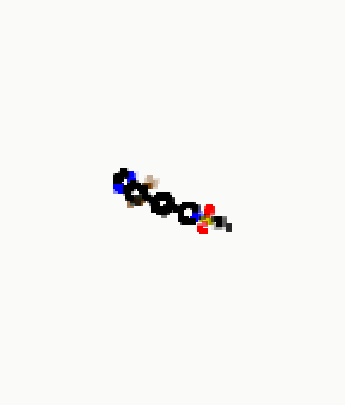 CS(=O)(=O)N1CCC(c2ccc(C(Br)=C(Br)c3nccnc3C#N)cc2)CC1